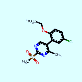 Cc1nc(S(C)(=O)=O)ncc1-c1cc(Cl)ccc1OCC(=O)O